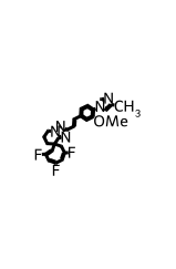 COc1cc(/C=C/c2nc3n(n2)CCCC32/C=C(F)/C=C(F)\C=C(\F)C2)ccc1-n1cnc(C)c1